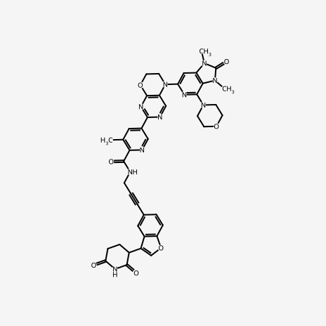 Cc1cc(-c2ncc3c(n2)OCCN3c2cc3c(c(N4CCOCC4)n2)n(C)c(=O)n3C)cnc1C(=O)NCC#Cc1ccc2occ(C3CCC(=O)NC3=O)c2c1